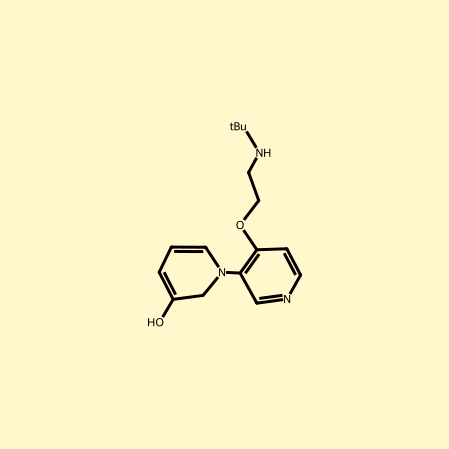 CC(C)(C)NCCOc1ccncc1N1C=CC=C(O)C1